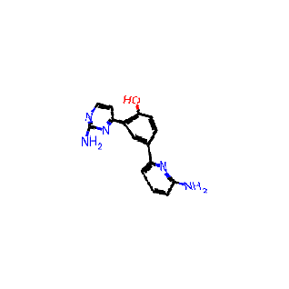 Nc1cccc(-c2ccc(O)c(-c3ccnc(N)n3)c2)n1